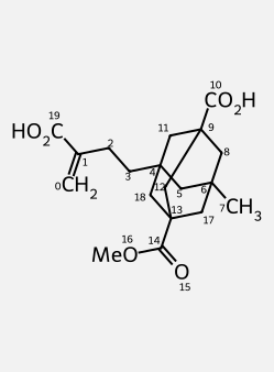 C=C(CCC12CC3(C)CC(C(=O)O)(C1)CC(C(=O)OC)(C3)C2)C(=O)O